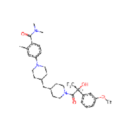 CCOc1cccc([C@@](O)(C(=O)N2CCC(CC3CCN(c4ccc(C(=O)N(C)C)c(C)c4)CC3)CC2)C(F)(F)F)c1